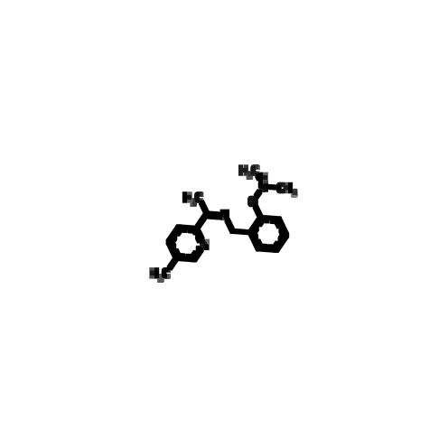 CC(=NCc1ccccc1O[SiH](C)C)c1ccc(C)cn1